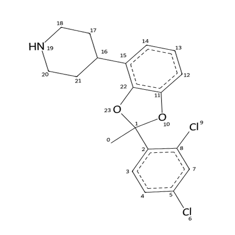 CC1(c2ccc(Cl)cc2Cl)Oc2cccc(C3CCNCC3)c2O1